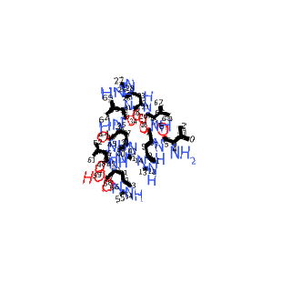 CC(C)C(N)C(=O)NC(Cc1c[nH]cn1)C(=O)NC(C(=O)NC(Cc1c[nH]cn1)C(=O)NC(C(=O)NC(Cc1c[nH]cn1)C(=O)NC(C(=O)NC(Cc1c[nH]cn1)C(=O)O)C(C)C)C(C)C)C(C)C